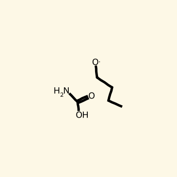 CCCC[O].NC(=O)O